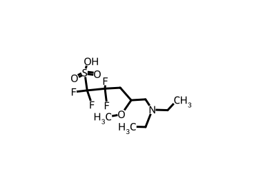 CCN(CC)CC(CC(F)(F)C(F)(F)S(=O)(=O)O)OC